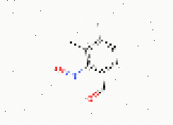 Cc1ccc(C=O)c(N=O)c1C